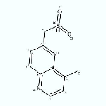 [CH2]c1ccnc2ccc(C[SH](=O)=O)cc12